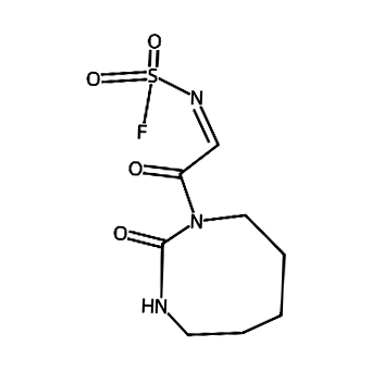 O=C(/C=N\S(=O)(=O)F)N1CCCCCNC1=O